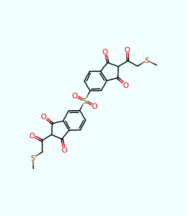 CSCC(=O)C1C(=O)c2ccc(S(=O)(=O)c3ccc4c(c3)C(=O)C(C(=O)CSC)C4=O)cc2C1=O